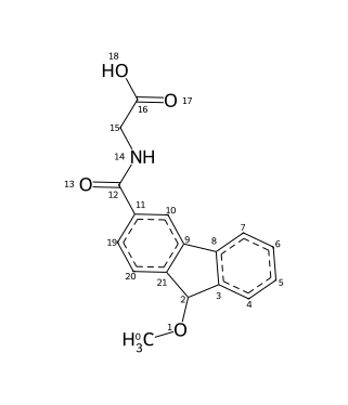 COC1c2ccccc2-c2cc(C(=O)NCC(=O)O)ccc21